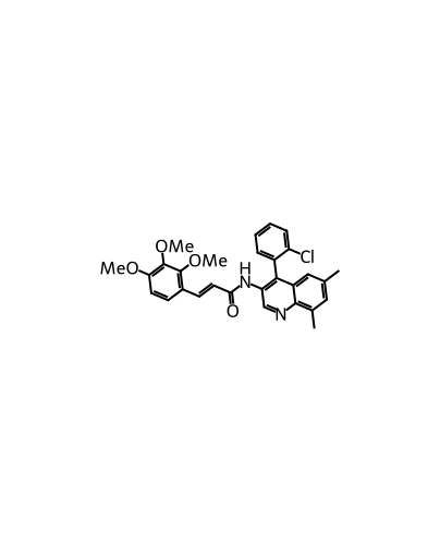 COc1ccc(C=CC(=O)Nc2cnc3c(C)cc(C)cc3c2-c2ccccc2Cl)c(OC)c1OC